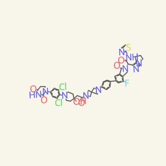 O=C1CCN(c2cc(Cl)c(N3CCC(O)(CC(=O)N4CC5(C4)CN(c4ccc(-c6cc(F)c7c(c6)C(=O)N(C(C(=O)Nc6nccs6)c6ncn8c6CCC8)C7)cc4)C5)CC3)c(Cl)c2)C(=O)N1